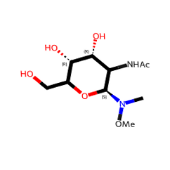 CON(C)[C@H]1OC(CO)[C@H](O)[C@H](O)C1NC(C)=O